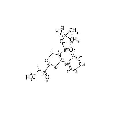 CCC(=O)C1CCN(C(=O)OC(C)(C)C)C(c2ccccc2)C1